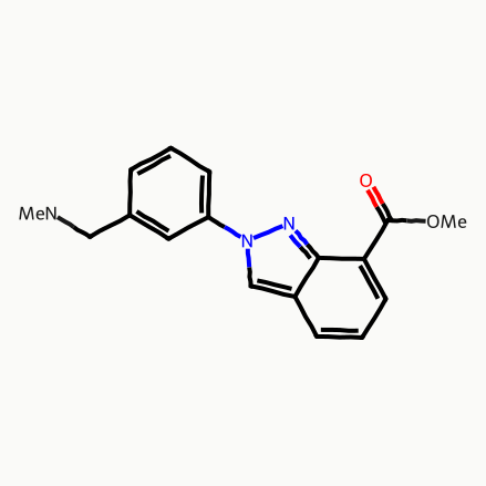 CNCc1cccc(-n2cc3cccc(C(=O)OC)c3n2)c1